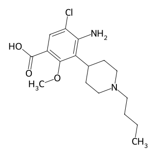 CCCCN1CCC(c2c(N)c(Cl)cc(C(=O)O)c2OC)CC1